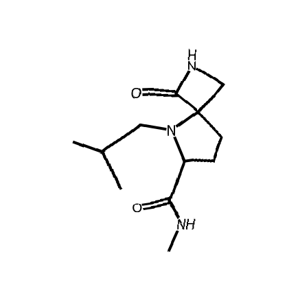 CNC(=O)C1CCC2(CNC2=O)N1CC(C)C